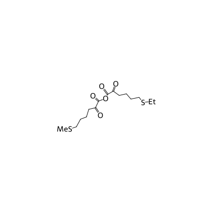 CCSCCCCC(=O)C(=O)OC(=O)C(=O)CCCCSC